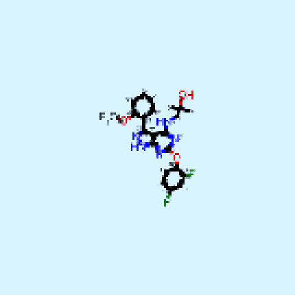 CC(C)(O)CNc1nc(Oc2ccc(F)cc2F)nc2[nH]nc(-c3ccccc3OC(F)(F)F)c12